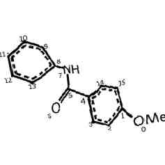 COc1ccc(C(=O)Nc2cc[c]cc2)cc1